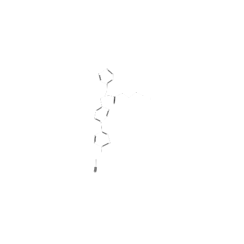 C#CCOc1ccc(-c2ccc(CN(C(=O)CCCC)c3cccc(F)c3)cc2)cc1